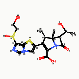 C[C@@H](O)[C@H]1C(=O)N2C(C(=O)O)=C(c3cn4cnc([S+]([O-])CCO)c4s3)[C@H](C)[C@H]12